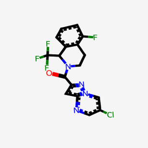 O=C(c1cc2ncc(Cl)cn2n1)N1CCc2c(F)cccc2C1C(F)(F)F